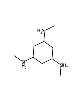 C[SiH2]C1CC([SiH2]C)CC([SiH2]C)C1